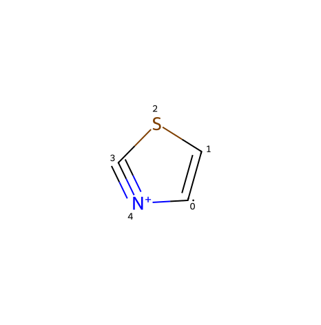 [c]1csc#[n+]1